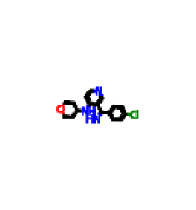 N=C(c1ccc(Cl)cc1)c1cnccc1NC1CCOCC1